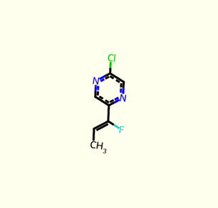 C/C=C(\F)c1cnc(Cl)cn1